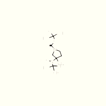 CN(C(C)(C)C)C1(C)CCN(C(=O)OC(C)(C)C)C1